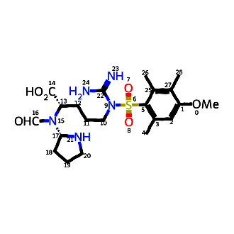 COc1cc(C)c(S(=O)(=O)N(CCC[C@@H](C(=O)O)N(C=O)[C@H]2CCCN2)C(=N)N)c(C)c1C